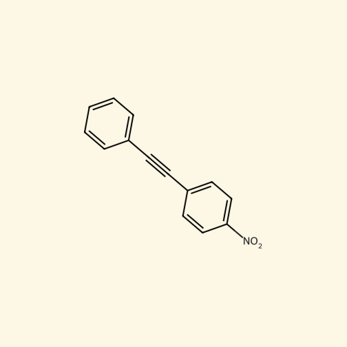 O=[N+]([O-])c1ccc(C#Cc2ccccc2)cc1